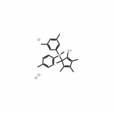 CC1=C(C)C(C)([Si](C)(c2ccc(C)cc2)c2cc(C)cc(C)c2)[C]([Ti+3])=C1C.[Cl-].[Cl-].[Cl-]